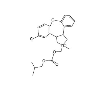 CC(C)COC(=O)OC[N+]1(C)CC2c3ccccc3Oc3ccc(Cl)cc3C2C1